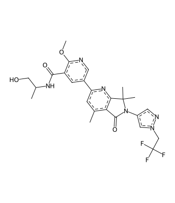 COc1ncc(-c2cc(C)c3c(n2)C(C)(C)N(c2cnn(CC(F)(F)F)c2)C3=O)cc1C(=O)NC(C)CO